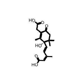 CC1=C(CC(=O)O)C(=O)CC(C)(C)[C@@]1(O)/C=C/C(C)=C\C(=O)O